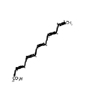 C=CC=CC=CC=CC=CC(=O)O